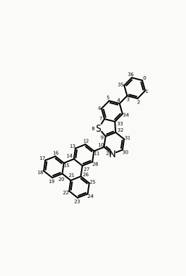 c1ccc(-c2ccc3sc4c(-c5ccc6c7ccccc7c7ccccc7c6c5)nccc4c3c2)cc1